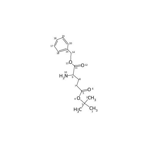 CC(C)(C)OC(=O)CCC(N)C(=O)OCc1ccccc1